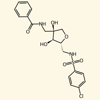 O=C(NC[C@]1(O)CO[C@H](CNS(=O)(=O)c2ccc(Cl)cc2)[C@H]1O)c1ccccc1